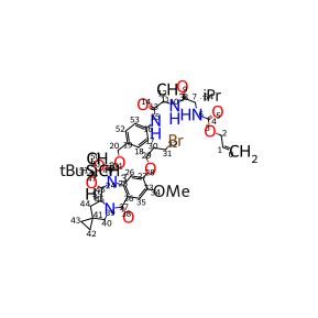 C=CCOC(=O)N[C@H](C(=O)N[C@@H](C)C(=O)Nc1ccc(COC(=O)N2c3cc(OCCCBr)c(OC)cc3C(=O)N3CC4(CC4)C[C@H]3C2O[Si](C)(C)C(C)(C)C)cc1)C(C)C